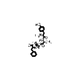 CC(=O)C(Cc1ccccc1)NC(=O)CNC(=O)[C@@H](C)NC(=O)[C@@H](N)Cc1ccc(O)cc1